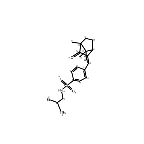 CCCCC(CC)CNS(=O)(=O)c1ccc(C=C2C(=O)C3(C)CCC2C3(C)C)cc1